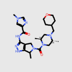 CC1c2[nH]nc(NC(=O)c3cn(C)cn3)c2CN1C(=O)N1C[C@@H](C)N(CC2CCOCC2)C[C@@H]1C